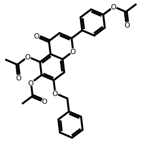 CC(=O)Oc1ccc(-c2cc(=O)c3c(OC(C)=O)c(OC(C)=O)c(OCc4ccccc4)cc3o2)cc1